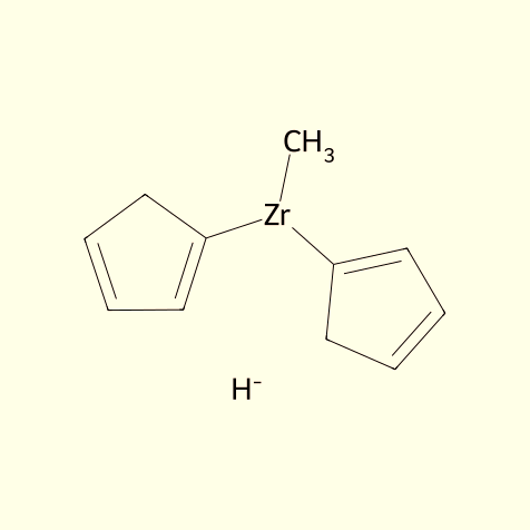 [CH3][Zr]([C]1=CC=CC1)[C]1=CC=CC1.[H-]